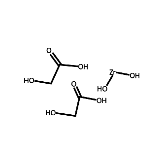 O=C(O)CO.O=C(O)CO.[OH][Zr][OH]